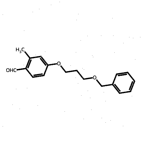 Cc1cc(OCCCOCc2ccccc2)ccc1C=O